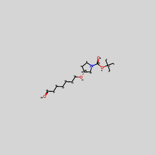 CC(C)(C)OC(=O)N1CC[C@@H](OCCCCCCC=O)C1